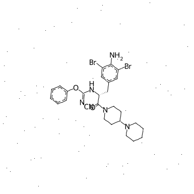 N#C/N=C(\N[C@H](Cc1cc(Br)c(N)c(Br)c1)C(=O)N1CCC(N2CCCCC2)CC1)Oc1ccccc1